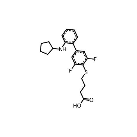 O=C(O)CCCSc1c(F)cc(-c2ccccc2NC2CCCC2)cc1F